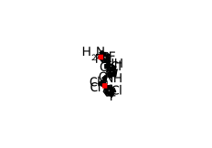 Nc1cc(F)c(NC(=O)c2cc(NC(=O)[C@H]3C(c4ccc(F)c(Cl)c4)C3(Cl)Cl)ccc2Cl)cc1F